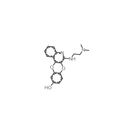 CN(C)CCNc1nc2ccccc2c2c1Oc1ccc(O)cc1O2